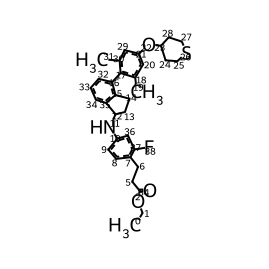 CCOC(=O)CCc1ccc(NC2CCc3c(-c4c(C)cc(OC5CCSCC5)cc4C)cccc32)cc1F